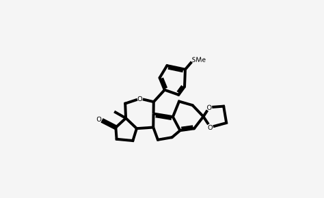 CSc1ccc(C2OCC3(C)C(=O)CCC3C3CCC4=CC5(CCC4=C23)OCCO5)cc1